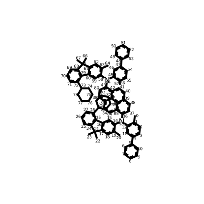 Cc1ccc(-c2ccccc2)cc1N(c1cc2c(cc1C)C(C)(C)c1cccc(C3CCCCC3)c1-2)c1ccc2ccc3c(N(c4cc(-c5ccccc5)ccc4C)c4cc5c(cc4C)C(C)(C)c4cccc(C6CCCCC6)c4-5)ccc4ccc1c2c43